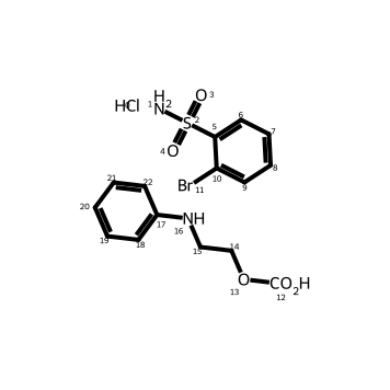 Cl.NS(=O)(=O)c1ccccc1Br.O=C(O)OCCNc1ccccc1